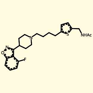 CC(=O)NCc1ccc(CCCCN2CCC(c3noc4cccc(F)c34)CC2)s1